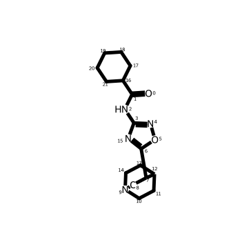 O=C(Nc1noc(C2CN3CCC2CC3)n1)C1CCCCC1